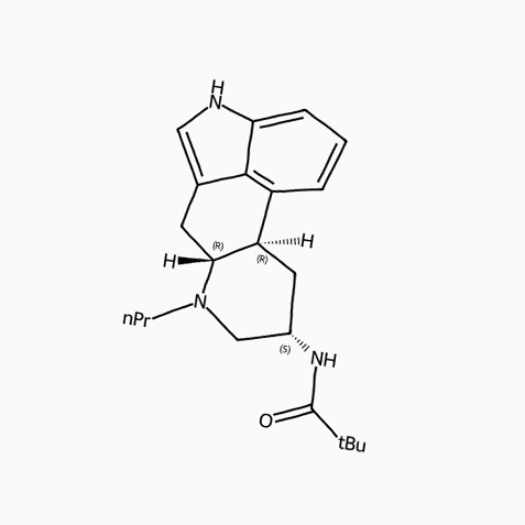 CCCN1C[C@@H](NC(=O)C(C)(C)C)C[C@@H]2c3cccc4[nH]cc(c34)C[C@H]21